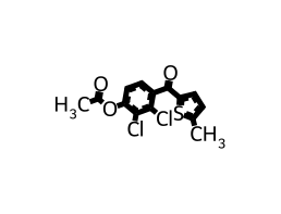 CC(=O)Oc1ccc(C(=O)c2ccc(C)s2)c(Cl)c1Cl